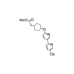 COC(=O)C[C@H]1CC[C@@H](Oc2ccc(-c3ccc(C#N)cn3)cn2)CC1